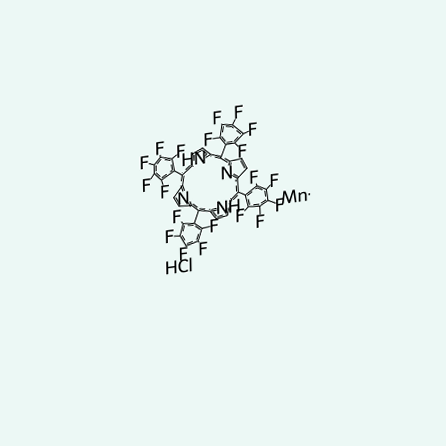 Cl.Fc1c(F)c(F)c(-c2c3nc(c(-c4c(F)c(F)c(F)c(F)c4F)c4ccc([nH]4)c(-c4c(F)c(F)c(F)c(F)c4F)c4nc(c(-c5c(F)c(F)c(F)c(F)c5F)c5ccc2[nH]5)C=C4)C=C3)c(F)c1F.[Mn]